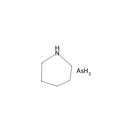 C1CCNCC1.[AsH3]